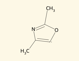 Cc1[c]oc(C)n1